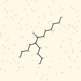 CCCCCCC([O])C(CCCC)CCCC